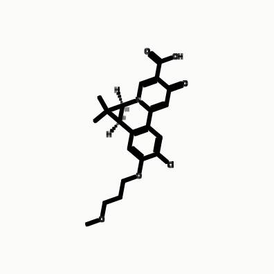 COCCCOc1cc2c(cc1Cl)-c1cc(=O)c(C(=O)O)cn1[C@H]1[C@@H]2C1(C)C